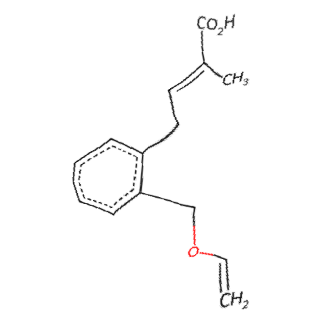 C=COCc1ccccc1CC=C(C)C(=O)O